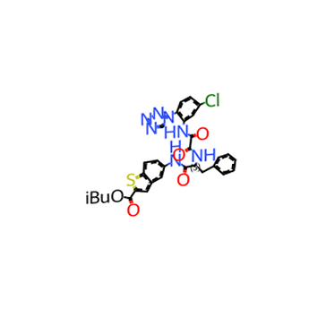 CC(C)COC(=O)c1cc2cc(NC(=O)[C@H](Cc3ccccc3)NC(=O)C(=O)Nc3cc(Cl)ccc3-n3cnnn3)ccc2s1